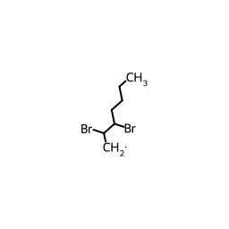 [CH2]C(Br)C(Br)CCCC